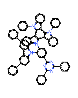 c1ccc(-c2ccc3c(c2)c2cc(-c4ccccc4)ccc2n3-c2cc(-c3nc(-c4ccccc4)nc(-c4ccccc4)n3)ccc2-n2c3ccccc3c3c4c(c5ccccc5n4-c4ccccc4)c4c(c5ccccc5n4-c4ccccc4)c32)cc1